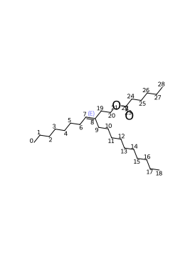 CCCCCCC/C=C(\CCCCCCCCCC)CCOC(=O)CCCCC